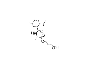 CC1CCC(C(C)C)C(C(=O)N[C@H](C)C(=O)OCCCO)C1